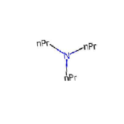 [CH2]CCN(CCC)CCC